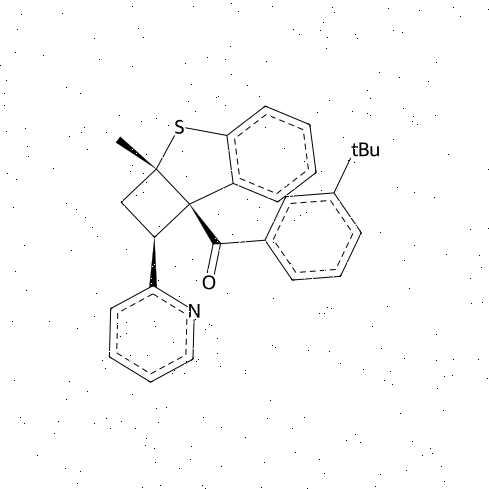 CC(C)(C)c1cccc(C(=O)[C@]23c4ccccc4S[C@@]2(C)C[C@@H]3c2ccccn2)c1